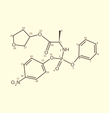 C[C@@H](NP(=O)(Oc1ccccc1)Oc1ccc([N+](=O)[O-])cc1)C(=O)OC1CCOC1